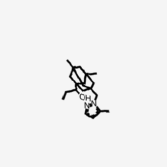 CCC(O)C12CC3(C)CC(C)(CC(Cn4nccc4C)(C3)C1)C2